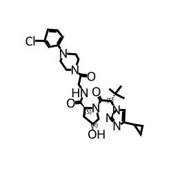 CC(C)(C)[C@@H](C(=O)N1C[C@H](O)C[C@H]1C(=O)NCC(=O)N1CCN(c2cccc(Cl)c2)CC1)n1cc(C2CC2)nn1